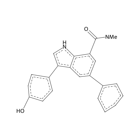 CNC(=O)c1cc(-c2ccccc2)cc2c(-c3ccc(O)cc3)c[nH]c12